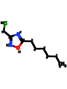 CCCCCCc1nc(CCl)no1